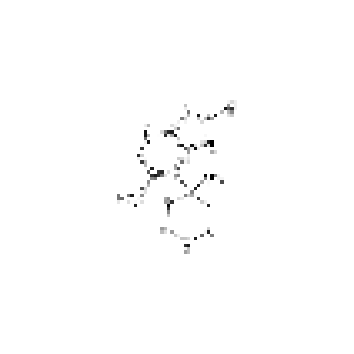 CC1(c2c(C(=O)O)cnc3cc(Cl)nn23)CCOCC1